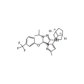 Cc1cc(N2C[C@H]3CC[C@@H](C2)C3Nc2nc(Oc3cccc(C(F)(F)F)c3)n(C(C)C)n2)sn1